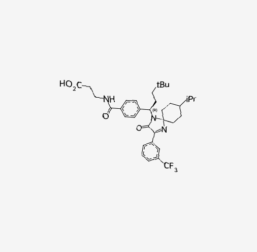 CC(C)C1CCC2(CC1)N=C(c1cccc(C(F)(F)F)c1)C(=O)N2[C@H](CCC(C)(C)C)c1ccc(C(=O)NCCC(=O)O)cc1